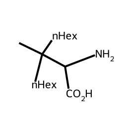 CCCCCCC(C)(CCCCCC)C(N)C(=O)O